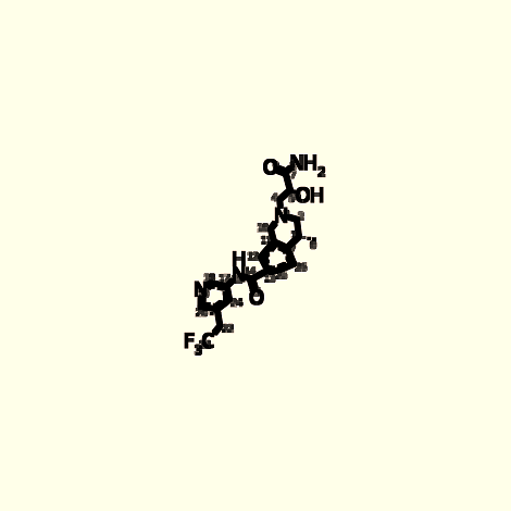 C[C@H]1CN(C[C@@H](O)C(N)=O)Cc2cc(C(=O)Nc3cncc(CC(F)(F)F)c3)ccc21